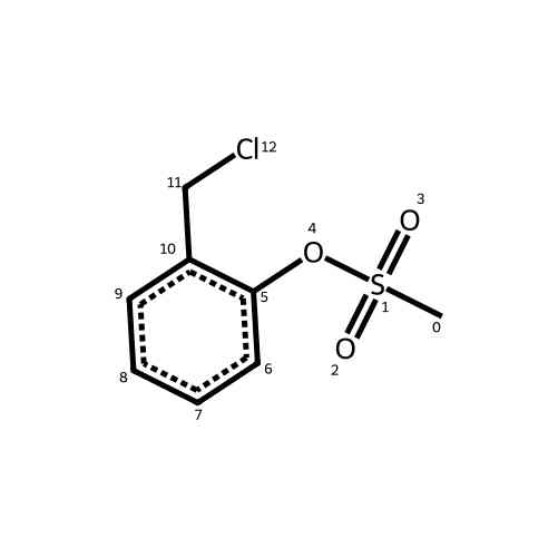 CS(=O)(=O)Oc1ccccc1CCl